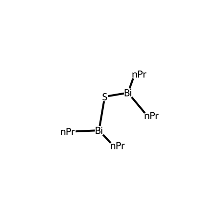 CC[CH2][Bi]([CH2]CC)[S][Bi]([CH2]CC)[CH2]CC